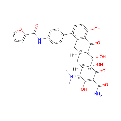 CN(C)[C@H]1C(O)=C(C(N)=O)C(=O)[C@]2(O)C(O)=C3C(=O)c4c(O)ccc(-c5ccc(NC(=O)c6ccco6)cc5)c4C[C@@H]3C[C@H]12